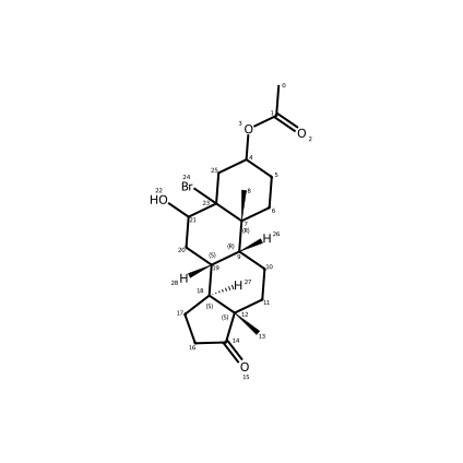 CC(=O)OC1CC[C@]2(C)[C@@H]3CC[C@]4(C)C(=O)CC[C@H]4[C@@H]3CC(O)C2(Br)C1